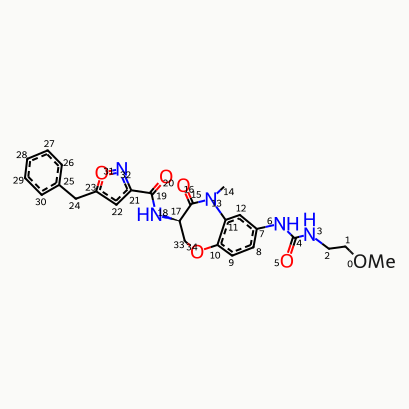 COCCNC(=O)Nc1ccc2c(c1)N(C)C(=O)[C@H](NC(=O)c1cc(Cc3ccccc3)on1)CO2